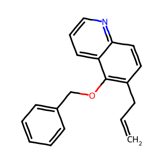 C=CCc1ccc2ncccc2c1OCc1ccccc1